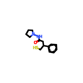 O=C(CC(CS)c1ccccc1)NN1CCCC1